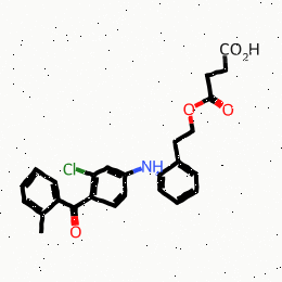 Cc1ccccc1C(=O)c1ccc(Nc2ccccc2CCOC(=O)CCC(=O)O)cc1Cl